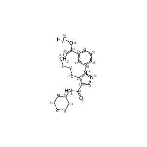 CCCSc1c(C(=O)NC2CCCCC2)cnn1-c1cccc(C(=O)OC)c1